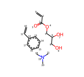 C=CC(=O)OCC(O)CO.C=Cc1ccccc1.CN(C)C